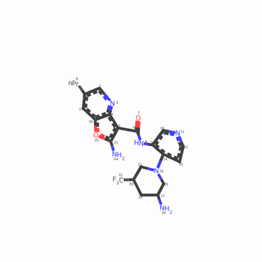 CCCc1cnc2c(C(=O)Nc3cnccc3N3CC(N)CC(C(F)(F)F)C3)c(N)oc2c1